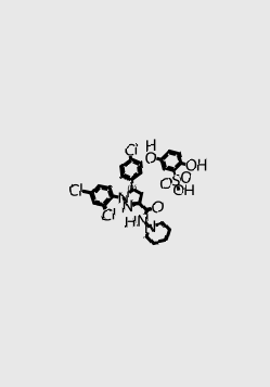 O=C(NN1CCCCC1)C1=NN(c2ccc(Cl)cc2Cl)[C@@H](c2ccc(Cl)cc2)C1.O=S(=O)(O)c1cc(O)ccc1O